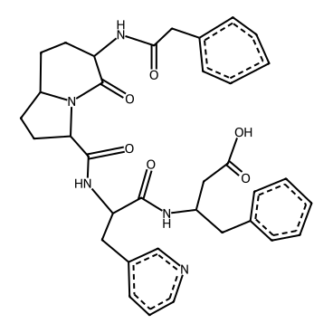 O=C(O)CC(Cc1ccccc1)NC(=O)C(Cc1cccnc1)NC(=O)C1CCC2CCC(NC(=O)Cc3ccccc3)C(=O)N21